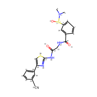 CN(C)[S+]([O-])c1cccc(C(=O)NCC(=O)Nc2nc(-c3cccc(C#N)c3)cs2)c1